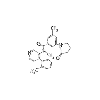 Cc1ccccc1-c1ccncc1N(C)C(=O)c1cc(N2CCCC2=O)cc(C(F)(F)F)c1